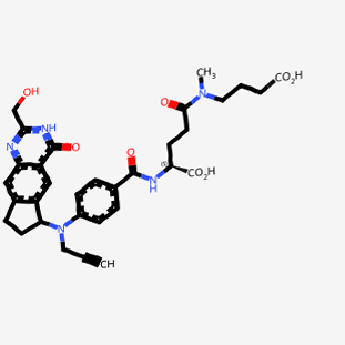 C#CCN(c1ccc(C(=O)N[C@@H](CCC(=O)N(C)CCCC(=O)O)C(=O)O)cc1)C1CCc2cc3nc(CO)[nH]c(=O)c3cc21